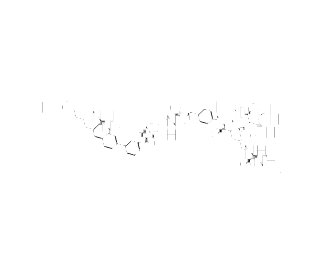 CCCCCc1cc2ccc(-c3cccc(S(=O)(=O)N4CC(CNC(=O)OCc5ccc(NC(=O)C(CCCNC(N)=O)NC(=O)C(C(=O)O)C(C)C)cc5)C4)c3)cc2nc1N